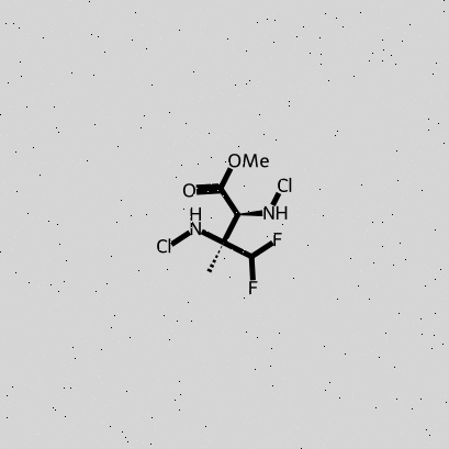 COC(=O)[C@@H](NCl)[C@](C)(NCl)C(F)F